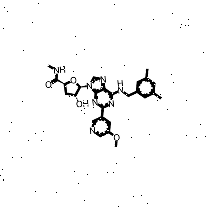 CNC(=O)[C@@H]1C[C@@H](O)[C@H](n2cnc3c(NCc4cc(C)cc(C)c4)nc(-c4cncc(OC)c4)nc32)O1